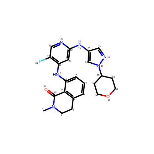 CN1CCc2cccc(Nc3cc(Nc4cnn(C5CCOCC5)c4)ncc3F)c2C1=O